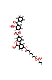 C=CC(=O)OCCCCCCOc1ccc(C(=O)O)c(-c2ccc(C(=O)Oc3ccc(C(=O)c4ccccc4)c(O)c3)cc2)c1